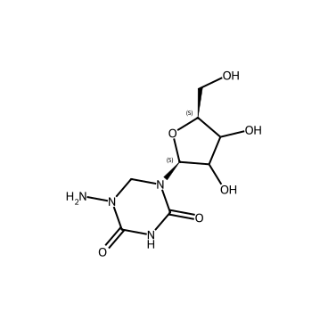 NN1CN([C@H]2O[C@@H](CO)C(O)C2O)C(=O)NC1=O